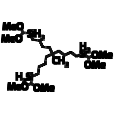 COC(OC)[SiH2]CCCCC(C)(CCCC[SiH2]C(OC)OC)CCCC[SiH2]C(OC)OC